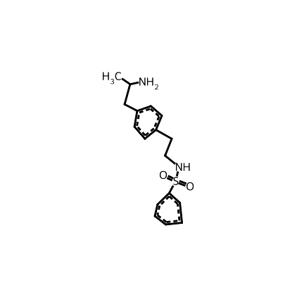 CC(N)Cc1ccc(CCNS(=O)(=O)c2ccccc2)cc1